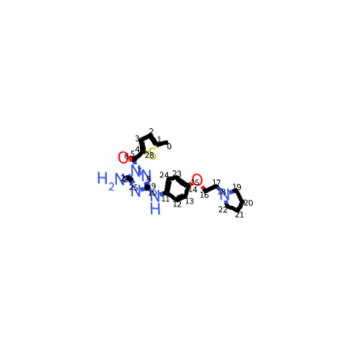 Cc1ccc(C(=O)n2nc(Nc3ccc(OCCN4CCCC4)cc3)nc2N)s1